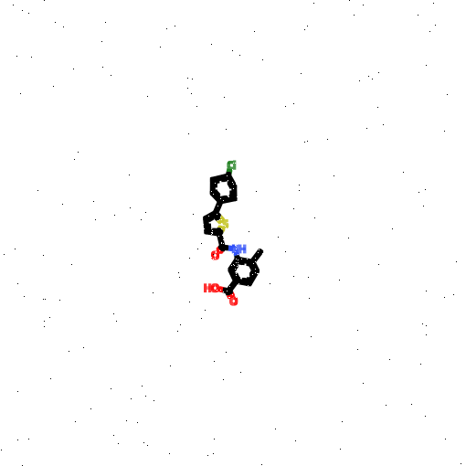 Cc1ccc(C(=O)O)cc1NC(=O)c1ccc(-c2ccc(Cl)cc2)s1